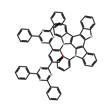 c1ccc(-c2nc(-c3ccccc3)nc(-c3ccc(-n4c5ccccc5c5c6c7ccccc7oc6c6c7ccccc7n(-c7ccccc7)c6c54)c(-c4nc(-c5ccccc5)nc(-c5ccccc5)n4)c3)n2)cc1